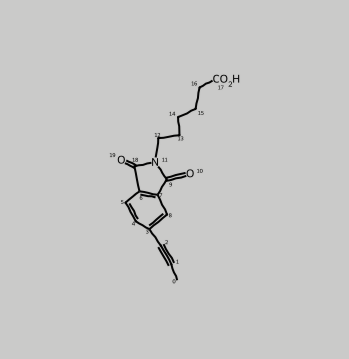 CC#Cc1ccc2c(c1)C(=O)N(CCCCCC(=O)O)C2=O